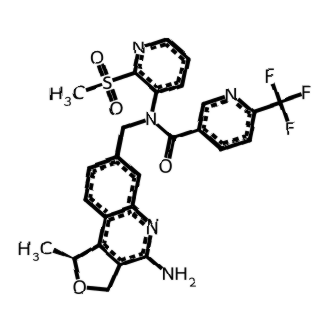 C[C@@H]1OCc2c(N)nc3cc(CN(C(=O)c4ccc(C(F)(F)F)nc4)c4cccnc4S(C)(=O)=O)ccc3c21